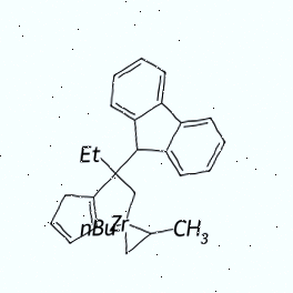 CCC[CH2][Zr]1([CH2]C(CC)(C2=CC=CC2)C2c3ccccc3-c3ccccc32)[CH2][CH]1C